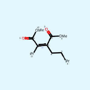 COC(=O)/C(CCC(C)C)=C(\C(=O)OC)C(C)C